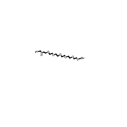 CCC(C)OCCOCCOCCOCCOCCOCCNCC(C)C